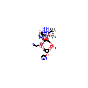 CC(C)C(=O)Nc1nc2c(ncn2[C@@H]2O[C@@H]3COP(=O)(O)O[C@H]4C[C@H](Oc5ccncn5)C[C@@H]4CO[P@@](=S)(OCCC#N)O[C@@H]2[C@@H]3O[Si](C)(C)C(C)(C)C)c(=O)[nH]1